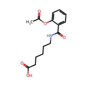 CC(=O)Oc1ccccc1C(=O)NCCCCCC(=O)O